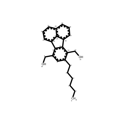 CCCCCCc1cc(CO)c2c(c1CO)-c1cccc3cccc-2c13